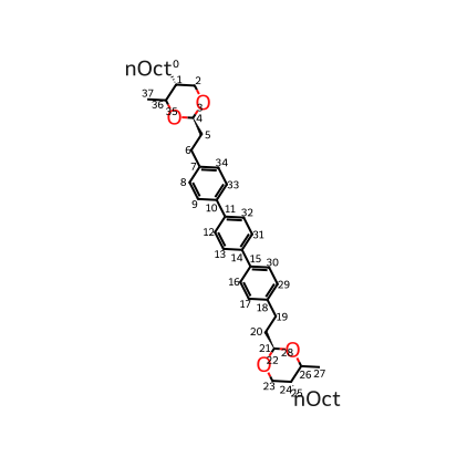 CCCCCCCC[C@@H]1CO[C@@H](CCc2ccc(-c3ccc(-c4ccc(CC[C@@H]5OC[C@@H](CCCCCCCC)C(C)O5)cc4)cc3)cc2)OC1C